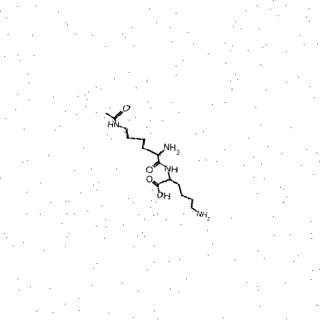 CC(=O)NCCCCC(N)C(=O)NC(CCCCN)C(=O)O